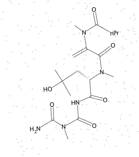 C=C(C(=O)N(C)[C@@H](CC(C)(C)O)C(=O)NC(=O)N(C)C(N)=O)N(C)C(=O)CCC